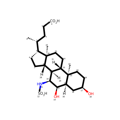 C[C@H](CCC(=O)O)[C@H]1CC[C@H]2[C@@H]3[C@H](NS(=O)(=O)O)[C@H](O)[C@@H]4C[C@H](O)CC[C@]4(C)[C@H]3CC[C@]12C